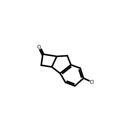 O=C1CC2c3ccc(Cl)cc3CC12